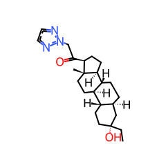 CC[C@@]1(O)CC[C@H]2[C@@H](CC[C@@H]3[C@@H]2CC[C@]2(C)[C@@H](C(=O)Cn4nccn4)CC[C@@H]32)C1